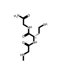 CNCC(=O)N[C@@H](CCS)C(=O)NCC(N)=O